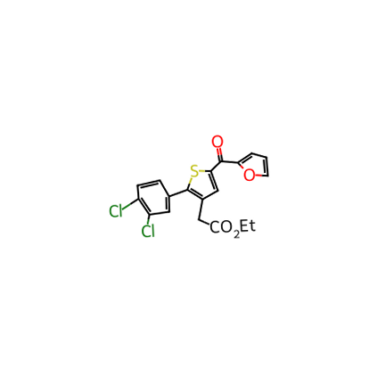 CCOC(=O)Cc1cc(C(=O)c2ccco2)sc1-c1ccc(Cl)c(Cl)c1